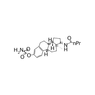 CCCC(=O)N[C@H]1CC[C@H]2[C@@H]3CCc4cc(OS(N)(=O)=O)ccc4[C@H]3CC[C@]12C